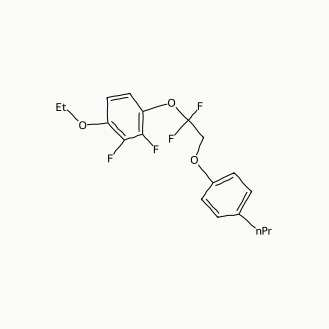 CCCc1ccc(OCC(F)(F)Oc2ccc(OCC)c(F)c2F)cc1